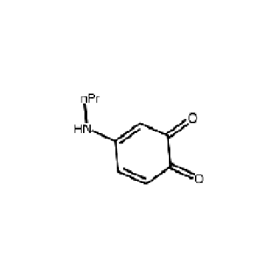 CCCNC1=CC(=O)C(=O)C=C1